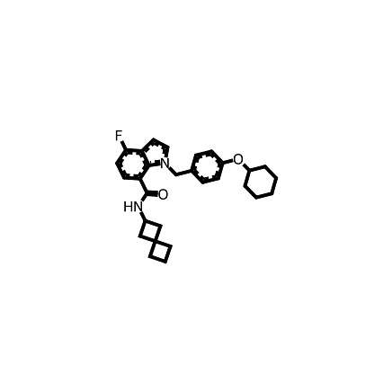 O=C(NC1CC2(CCC2)C1)c1ccc(F)c2ccn(Cc3ccc(OC4CCCCC4)cc3)c12